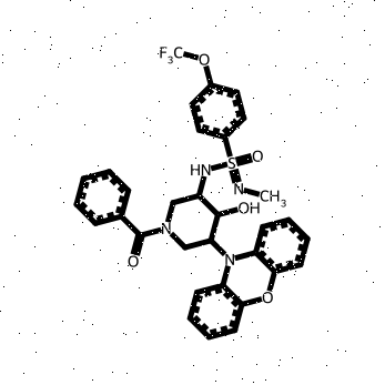 CN=S(=O)(NC1CN(C(=O)c2ccccc2)CC(N2c3ccccc3Oc3ccccc32)C1O)c1ccc(OC(F)(F)F)cc1